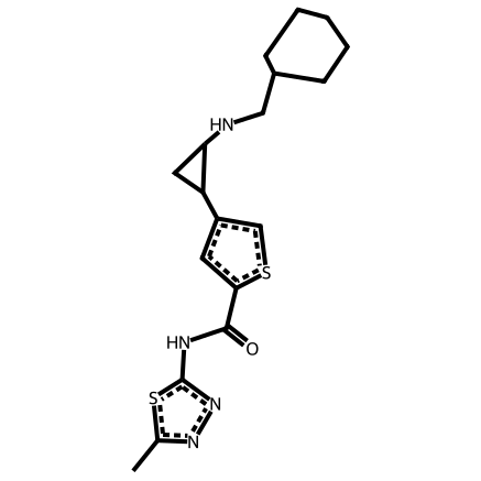 Cc1nnc(NC(=O)c2cc(C3CC3NCC3CCCCC3)cs2)s1